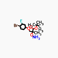 CC(C)(C)OC(=O)[C@](C)(COc1ccc(Br)c(F)c1)ON